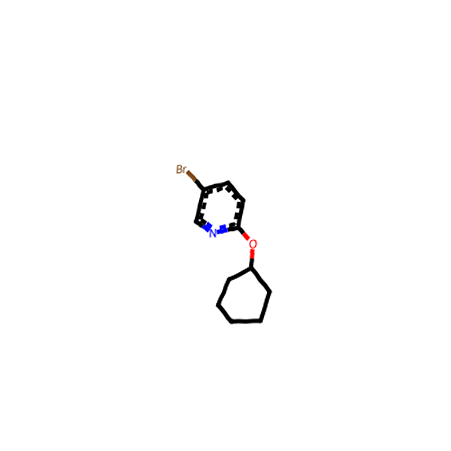 Brc1ccc(O[C]2CCCCC2)nc1